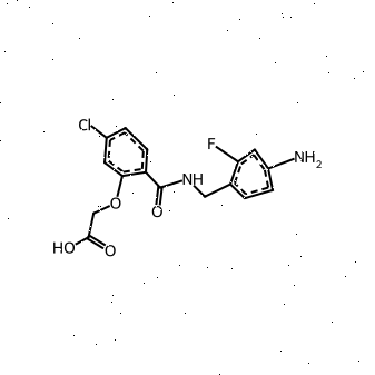 Nc1ccc(CNC(=O)c2ccc(Cl)cc2OCC(=O)O)c(F)c1